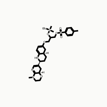 Cc1ccc(S(=O)(=O)OCC(COC2=CC=C3N[C@H](C4=CN=C5[C@@H](C4)OCCN5C)CC[C@@H]3C2)O[Si](C)(C)C(C)(C)C)cc1